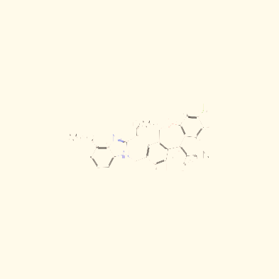 COCc1nc2c(OC)cccc2n1Cc1ccc2c(c1)COc1cc(F)ccc1/C2=C(/C)C#N